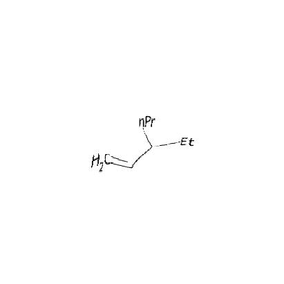 C=CC(CC)CCC